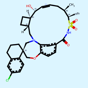 CCC[C@@H]1[C@H](C)C/C=C\[C@@H](O)[C@@H]2CC[C@H]2CN2C[C@@]3(CCCc4cc(Cl)ccc43)COc3ccc(cc32)C(=O)NS1(=O)=O